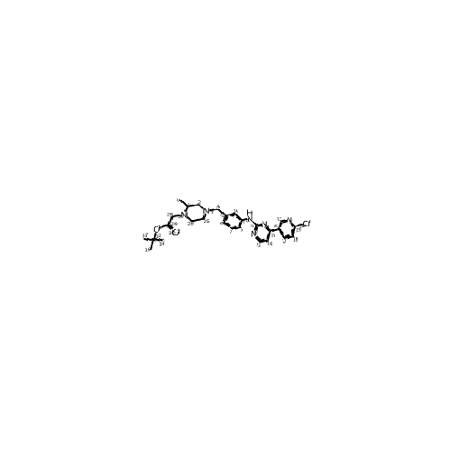 CC1CN(Cc2cccc(Nc3nccc(-c4ccc(Cl)nc4)n3)c2)CCN1CC(=O)OC(C)(C)C